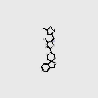 Cc1cc(/C=C2/SC(N3CCC4(CC3)OCc3ccccc34)=NC2=O)no1